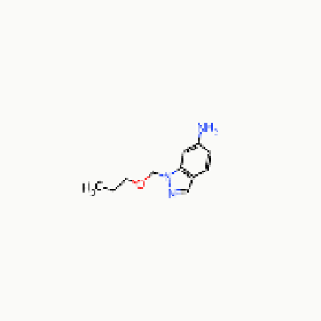 CCCOCn1ncc2ccc(N)cc21